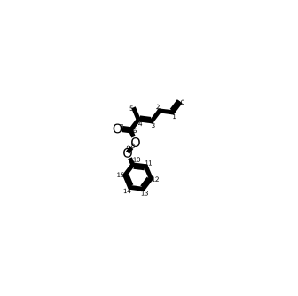 C=CCC=C(C)C(=O)OOc1ccccc1